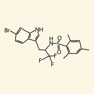 Cc1cc(C)c(S(=O)(=O)NC(Cc2c[nH]c3cc(Br)ccc23)C(F)(F)F)c(C)c1